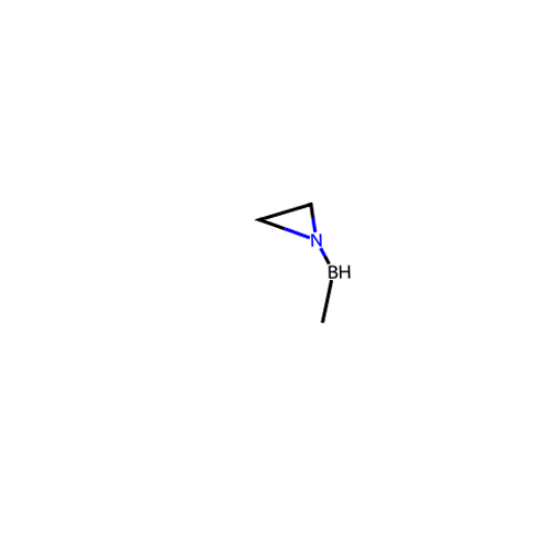 CBN1CC1